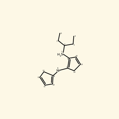 CCC(CC)[SiH2]C1=[C]([Ni][C]2=CC=CC2)CC=C1